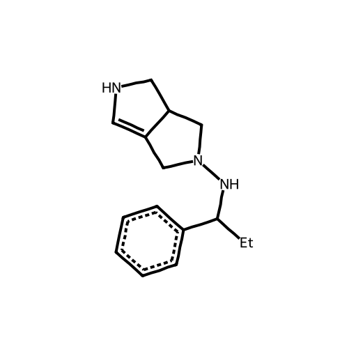 CCC(NN1CC2=CNCC2C1)c1ccccc1